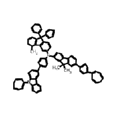 CC1CC=CC2=C1c1cc(N(c3ccc(-c4ccc5c(c4)c4ccccc4n5C4=CC=CCC=C4)cc3)c3ccc4c(c3)C(C)(C)c3cc(-c5ccc(C6=CC=CCC=C6)cc5)ccc3-4)ccc1C2(c1ccccc1)c1ccccc1